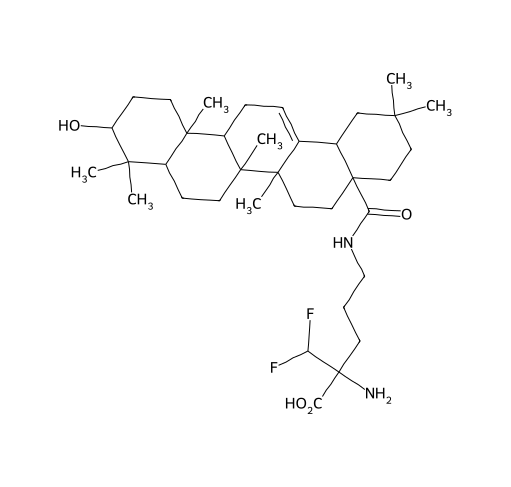 CC1(C)CCC2(C(=O)NCCCC(N)(C(=O)O)C(F)F)CCC3(C)C(=CCC4C5(C)CCC(O)C(C)(C)C5CCC43C)C2C1